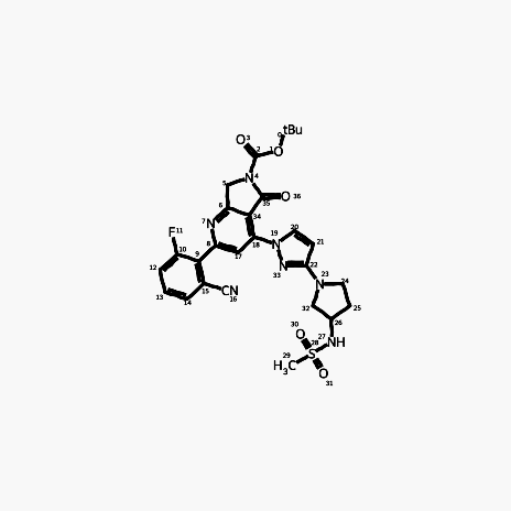 CC(C)(C)OC(=O)N1Cc2nc(-c3c(F)cccc3C#N)cc(-n3ccc(N4CCC(NS(C)(=O)=O)C4)n3)c2C1=O